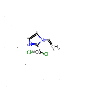 C=Cn1ccnc1.[Cl][Cu][Cl]